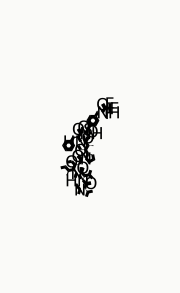 CC[C@H](C)[C@@H]([C@@H](CC(=O)N1CCC[C@H]1[C@H](OC)[C@@H](C)C(=O)N[C@@H](Cc1ccccc1)C(=O)NS(=O)(=O)c1ccc(CNC(=O)C(F)(F)F)cc1)OC)N(C)C(=O)[C@@H](NC(=O)[C@H](C(C)C)N(C)C)C(C)C